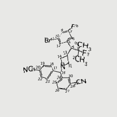 CC(C)(F)C(c1cc(F)cc(Br)c1)C1CN(C(c2ccc(C#N)cc2)c2cccc(C#N)c2)C1